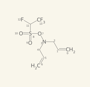 C=CCN(CC=C)OS(=O)(=O)C(F)C(F)(F)F